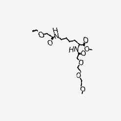 CCOCC(=O)NCCCCC(NC(=O)COCCOCCOC)C(=O)OC